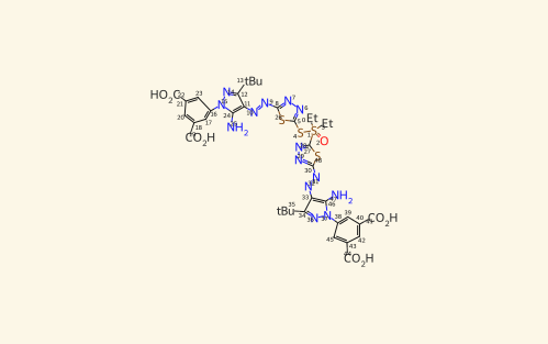 CCS(=O)(CC)(Sc1nnc(N=Nc2c(C(C)(C)C)nn(-c3cc(C(=O)O)cc(C(=O)O)c3)c2N)s1)c1nnc(N=Nc2c(C(C)(C)C)nn(-c3cc(C(=O)O)cc(C(=O)O)c3)c2N)s1